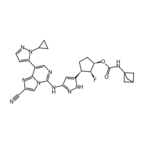 N#Cc1cn2c(Nc3cc([C@H]4CC[C@@H](OC(=O)NC56CC(C5)C6)[C@H]4F)[nH]n3)ncc(-c3ccnn3C3CC3)c2n1